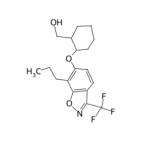 CCCc1c(OC2CCCCC2CO)ccc2c(C(F)(F)F)noc12